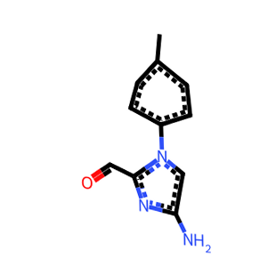 Cc1ccc(-n2cc(N)nc2C=O)cc1